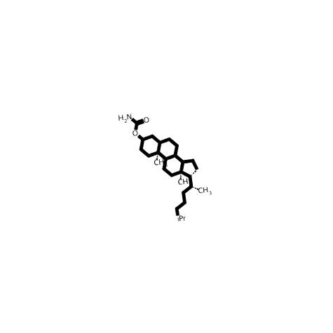 CC(C)CCC[C@@H](C)[C@H]1CCC2C3CCC4CC(OC(N)=O)CC[C@]4(C)C3CC[C@@]21C